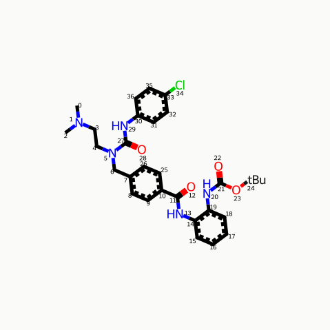 CN(C)CCN(Cc1ccc(C(=O)Nc2ccccc2NC(=O)OC(C)(C)C)cc1)C(=O)Nc1ccc(Cl)cc1